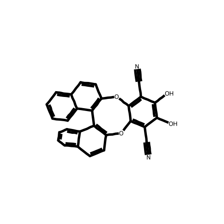 N#Cc1c(O)c(O)c(C#N)c2oc3ccc4ccccc4c3c3c(ccc4ccccc43)oc12